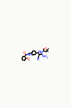 COc1ccccc1C(=O)NCc1ccc(-c2nn(C3COC(C)(C)C3)c(N)c2C#N)cc1